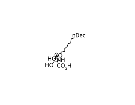 CCCCCCCCCCCCCCCCCCOP(=O)(O)N[C@@H](CO)C(=O)O